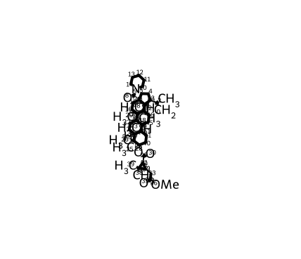 C=C(C)[C@@H]1CC[C@]2(C(=O)N3CCCCC3)CC[C@@]3(C)[C@]4(C)CC[C@H]5C(C)(C)[C@@H](OC(=O)[C@H]6[C@@H](CC(=O)OC)C6(C)C)CC[C@]5(C)[C@H]4CC[C@]3(C)[C@@H]12